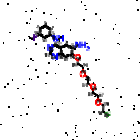 Nc1cc2c(Nc3cccc(I)c3)ncnc2cc1OCCOCCOCCOCCF